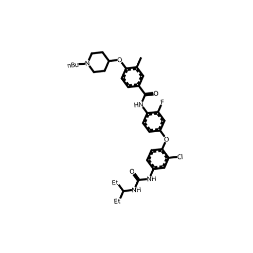 CCCCN1CCC(Oc2ccc(C(=O)Nc3ccc(Oc4ccc(NC(=O)NC(CC)CC)cc4Cl)cc3F)cc2C)CC1